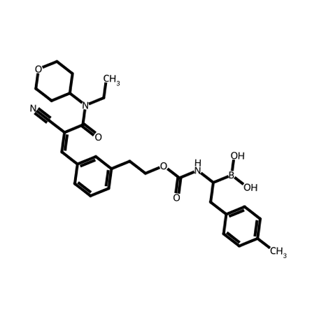 CCN(C(=O)C(C#N)=Cc1cccc(CCOC(=O)NC(Cc2ccc(C)cc2)B(O)O)c1)C1CCOCC1